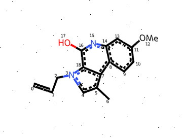 C=CCn1cc(C)c2c3ccc(OC)cc3nc(O)c21